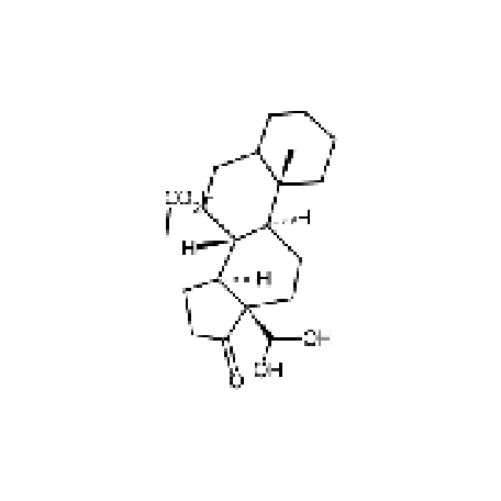 CC(=O)O.C[C@]12CCCCC1CC[C@@H]1[C@@H]2CC[C@]2(C(O)O)C(=O)CC[C@@H]12